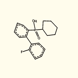 O=P(O)(c1ccccc1-c1ccccc1F)C1CCCCC1